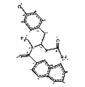 CN(C(=O)c1ccc2ccccc2c1)C(CC(N)=O)Cc1ccc(Cl)cc1